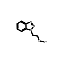 CC(C)NCCn1nnc2ccccc21